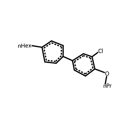 CCCCCCc1ccc(-c2ccc(OCCC)c(Cl)c2)cc1